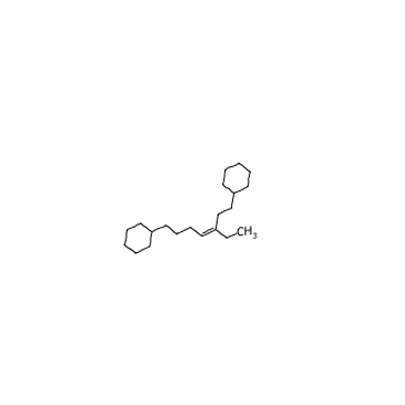 CCC(=CCCCC1CCCCC1)CCC1CCCCC1